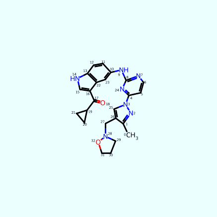 Cc1nn(-c2ccnc(Nc3ccc4[nH]cc(C(=O)C5CC5)c4c3)n2)cc1CN1CCCO1